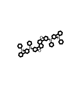 c1ccc(N(c2ccc3oc4ccc5c(ccc6oc7ccc(N(c8ccccc8)c8ccc9c%10ccccc%10n(-c%10ccccc%10)c9c8)cc7c65)c4c3c2)c2ccc3c4ccccc4n(-c4ccccc4)c3c2)cc1